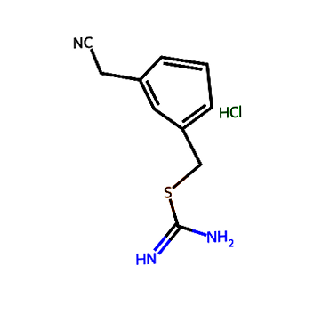 Cl.N#CCc1cccc(CSC(=N)N)c1